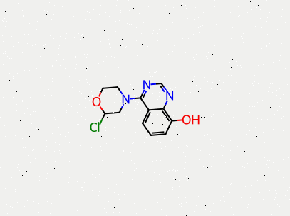 Oc1cccc2c(N3CCOC(Cl)C3)ncnc12